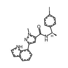 C[C@@H](NC(=O)c1cc(-c2cccc3cc[nH]c23)nn1C)c1ccc(I)cc1